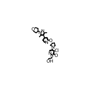 Cc1nn(C2CCOCC2)c(C)c1-c1ccnc(O[C@@H]2CCN(c3cnn(CCO)c(=O)c3Cl)C2)c1